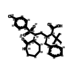 CC(C)(C)N(C(=O)O)[C@@H](Cc1ccccc1)CN([C@@H]1CCCCNC1=O)S(=O)(=O)c1ccc(Cl)cc1